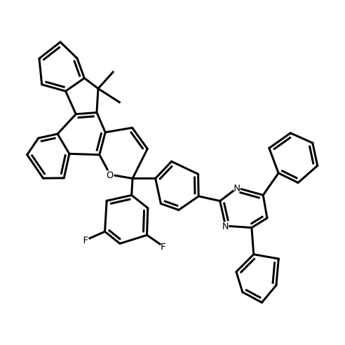 CC1(C)c2ccccc2-c2c1c1c(c3ccccc23)OC(c2ccc(-c3nc(-c4ccccc4)cc(-c4ccccc4)n3)cc2)(c2cc(F)cc(F)c2)C=C1